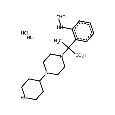 CC(C(=O)O)(c1ccccc1NC=O)N1CCN(C2CCNCC2)CC1.Cl.Cl